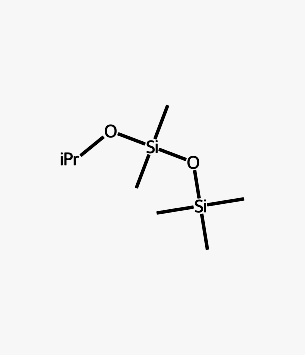 CC(C)O[Si](C)(C)O[Si](C)(C)C